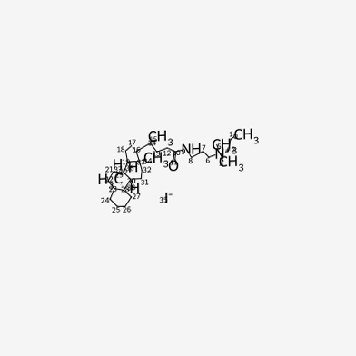 CCC[N+](C)(C)CCCNC(=O)CC[C@@H](C)[C@H]1CC[C@H]2[C@@H]3CCC4CCCC[C@]4(C)[C@H]3CC[C@]12C.[I-]